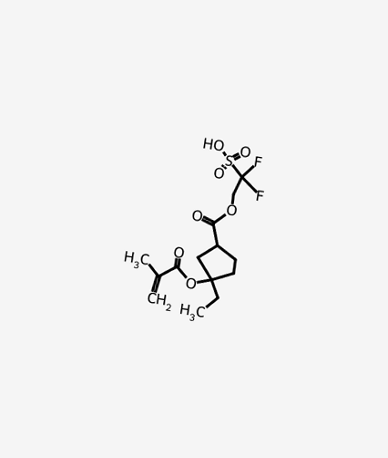 C=C(C)C(=O)OC1(CC)CCC(C(=O)OCC(F)(F)S(=O)(=O)O)C1